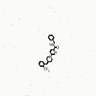 O=C(NCc1ccccc1)c1ccc(N2CCC(=Cc3ccccc3C(F)(F)F)CC2)cn1